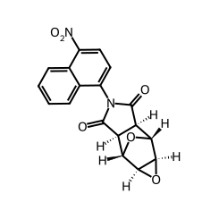 O=C1[C@@H]2[C@@H]3O[C@@H]([C@H]4O[C@H]43)[C@@H]2C(=O)N1c1ccc([N+](=O)[O-])c2ccccc12